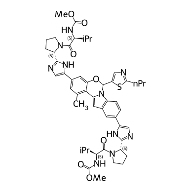 CCCc1ncc(C2Oc3cc(-c4cnc([C@@H]5CCCN5C(=O)[C@@H](NC(=O)OC)C(C)C)[nH]4)cc(C)c3-c3cc4cc(-c5cnc([C@@H]6CCCN6C(=O)[C@@H](NC(=O)OC)C(C)C)[nH]5)ccc4n32)s1